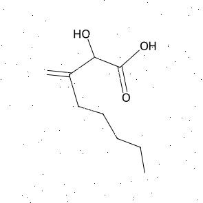 C=C(CCCCC)C(O)C(=O)O